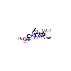 CC#CCn1c(N2CCCC(NC(=O)OC(C)(C)C)C2)nc2c1c(=O)n(Cc1nc(NC)ccc1C(=O)O)c(=O)n2C